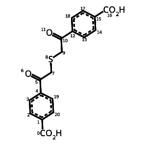 O=C(O)c1ccc(C(=O)CSCC(=O)c2ccc(C(=O)O)cc2)cc1